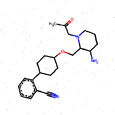 CC(=O)CN1CCCC(N)C1COC1CCC(c2ccccc2C#N)CC1